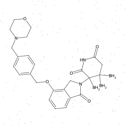 BC1(B)CC(=O)NC(=O)C1(B)N1Cc2c(OCc3ccc(CN4CCOCC4)cc3)cccc2C1=O